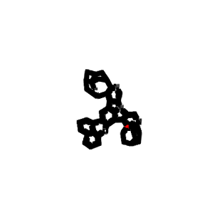 c1cc2cccc3c4cc5c6c7c(ncc6n6c8cnc9c(c8c(c4oc(c1)c23)c56)C1CC2CC(CC9C2)C1)C1CC2CC3CC7CC23C1